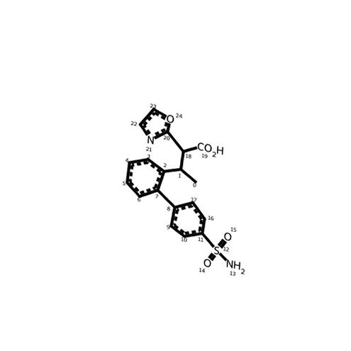 CC(c1ccccc1-c1ccc(S(N)(=O)=O)cc1)C(C(=O)O)c1ncco1